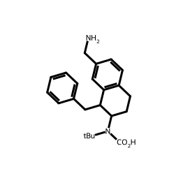 CC(C)(C)N(C(=O)O)C1CCc2ccc(CN)cc2C1Cc1ccccc1